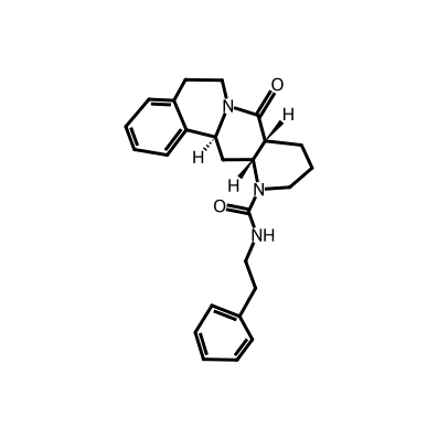 O=C(NCCc1ccccc1)N1CCC[C@H]2C(=O)N3CCc4ccccc4[C@@H]3C[C@H]21